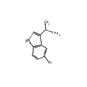 CCc1ccc2[nH]cc(C(C)C(F)(F)F)c2c1